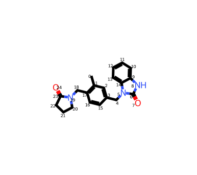 Cc1cc(Cn2c(=O)[nH]c3ccccc32)ccc1CN1CCCC1=O